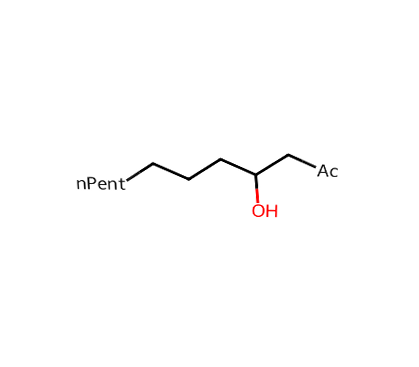 CCCCCCCCC(O)CC(C)=O